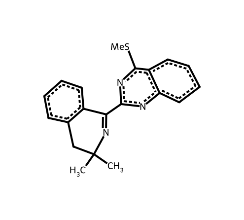 CSc1nc(C2=NC(C)(C)Cc3ccccc32)nc2ccccc12